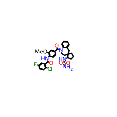 COc1cc(C(=O)N2CCC3(CCCC3NS(N)(=O)=O)Cc3ccccc32)ccc1NC(=O)c1cc(F)ccc1Cl